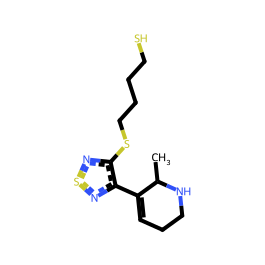 CC1NCCC=C1c1nsnc1SCCCCS